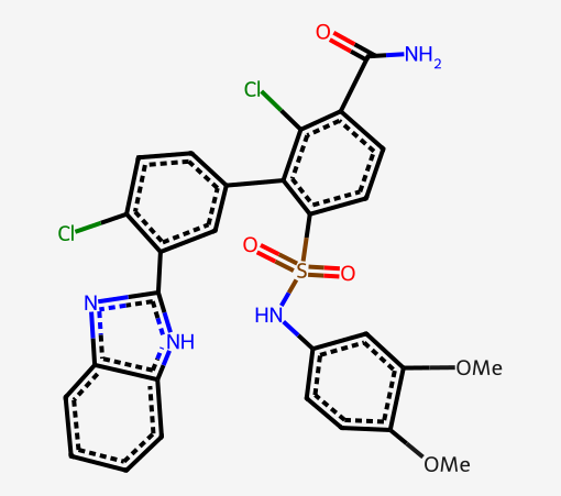 COc1ccc(NS(=O)(=O)c2ccc(C(N)=O)c(Cl)c2-c2ccc(Cl)c(-c3nc4ccccc4[nH]3)c2)cc1OC